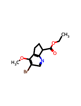 CCOC(=O)C1CCc2c1ncc(Br)c2OC